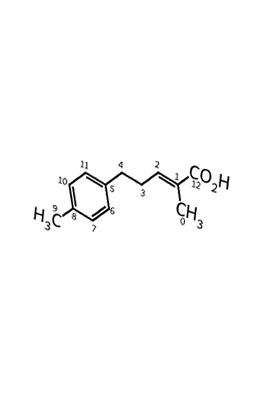 C/C(=C\CCc1ccc(C)cc1)C(=O)O